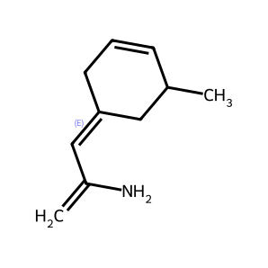 C=C(N)/C=C1/CC=CC(C)C1